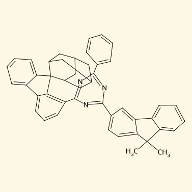 CC1(C)c2ccccc2-c2cc(-c3nc(-c4ccccc4)nc(-c4cccc5c4C4(c6ccccc6-5)C5CC6CC(C5)CC4C6)n3)ccc21